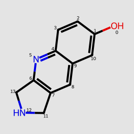 Oc1ccc2nc3c(cc2c1)CNC3